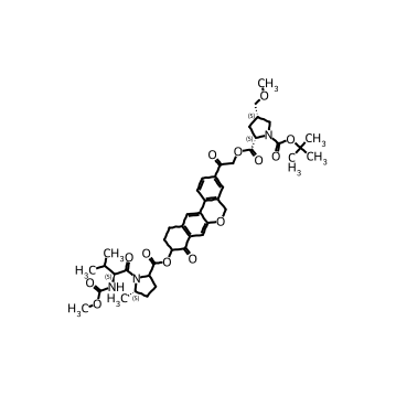 COC[C@H]1C[C@@H](C(=O)OCC(=O)c2ccc3c(c2)COc2cc4c(cc2-3)CCC(OC(=O)C2CC[C@H](C)N2C(=O)[C@@H](NC(=O)OC)C(C)C)C4=O)N(C(=O)OC(C)(C)C)C1